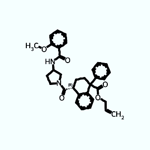 C=CCOC(=O)C1(c2ccccc2)CC[C@@H](C(=O)N2CCC(NC(=O)c3ccccc3OC)C2)c2ccccc21